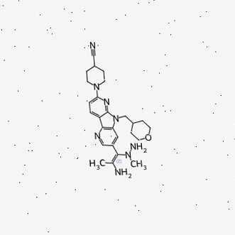 C/C(N)=C(\c1cnc2c3ccc(N4CCC(C#N)CC4)nc3n(CC3CCOCC3)c2c1)N(C)N